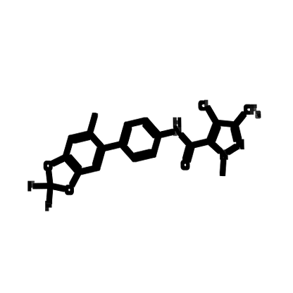 Cc1cc2c(cc1-c1ccc(NC(=O)c3c(Cl)c(C(F)(F)F)nn3C)cc1)OC(F)(F)O2